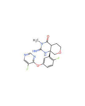 CN1C(=N)N[C@@]2(c3cc(Oc4ncncc4F)ccc3F)COCCC2C1=O